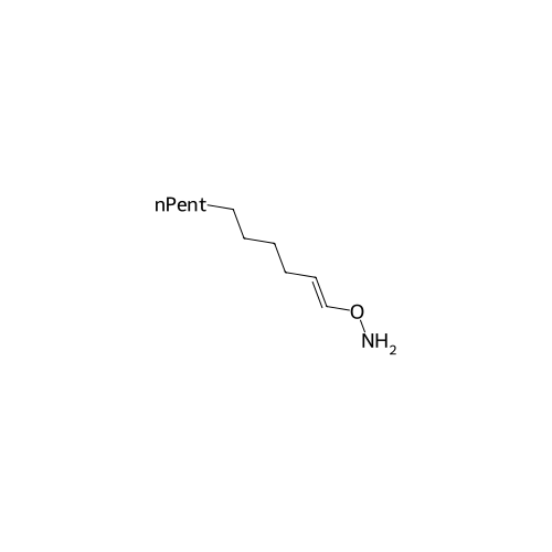 CCCCCCCCCC=CON